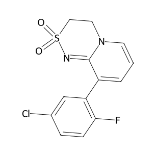 O=S1(=O)CCN2C=CC=C(c3cc(Cl)ccc3F)C2=N1